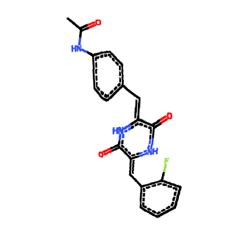 CC(=O)Nc1ccc(C=c2[nH]c(=O)c(=Cc3ccccc3F)[nH]c2=O)cc1